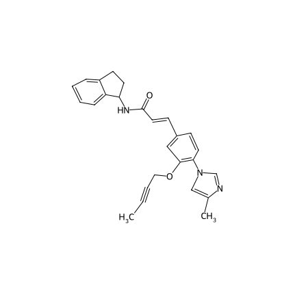 CC#CCOc1cc(/C=C/C(=O)NC2CCc3ccccc32)ccc1-n1cnc(C)c1